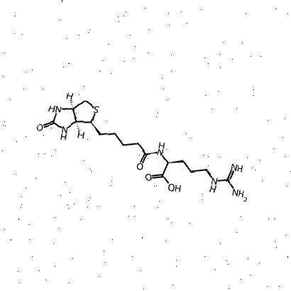 N=C(N)NCCC[C@H](NC(=O)CCCC[C@@H]1SC[C@@H]2NC(=O)N[C@@H]21)C(=O)O